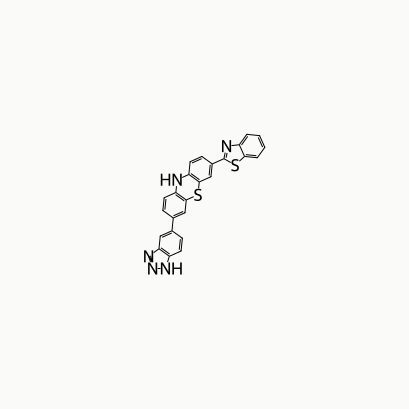 c1ccc2sc(-c3ccc4c(c3)Sc3cc(-c5ccc6[nH]nnc6c5)ccc3N4)nc2c1